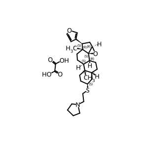 C[C@]12CC[C@H](SCCN3CCCC3)C[C@H]1CC[C@@H]1[C@@H]2CC[C@]2(C)[C@@H](c3ccoc3)C[C@H]3O[C@]132.O=C(O)C(=O)O